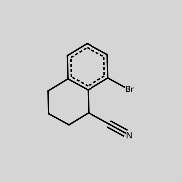 N#CC1CCCc2cccc(Br)c21